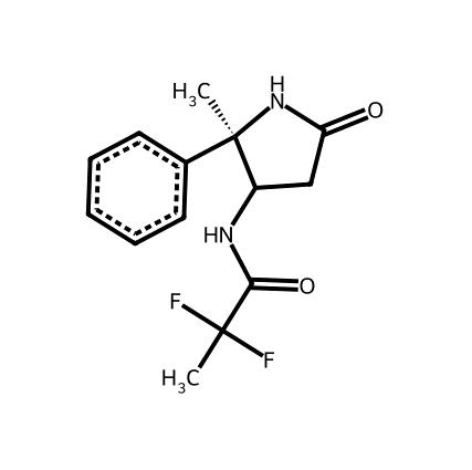 CC(F)(F)C(=O)NC1CC(=O)N[C@]1(C)c1ccccc1